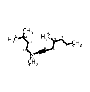 CCCC(C)CC#CN(C)CCC(C)C